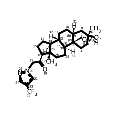 COC[C@]12CC[C@@](C)(O)C[C@H]1CC[C@H]1[C@@H]3CC[C@H](C(=O)Cn4cc(C(F)(F)F)cn4)[C@@]3(C)CC[C@@H]12